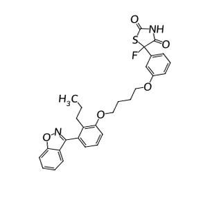 CCCc1c(OCCCCOc2cccc(C3(F)SC(=O)NC3=O)c2)cccc1-c1noc2ccccc12